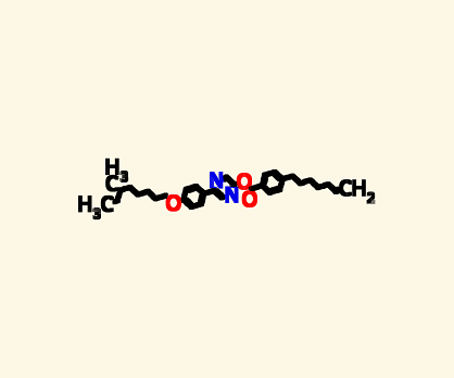 C=CCCCCCc1ccc(C(=O)Oc2cnc(-c3ccc(OCCCCC[C@@H](C)CC)cc3)cn2)cc1